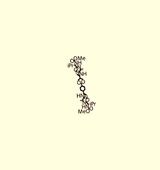 COC(=O)N[C@H](C(=O)N(C)[C@@H](C)c1ncc(C2CCC(C3OCC(c4cnc([C@H](C)N(C)C(=O)[C@@H](NC(=O)OC)C(C)C)[nH]4)CO3)CC2)[nH]1)C(C)C